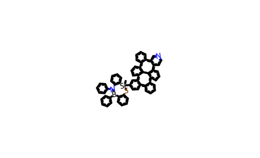 C[Si]1(c2ccc3c(c2)c2cccc4c2-c2c(cccc2c2ccncc2c2ccccc42)c2ccccc23)Sc2ccccc2B(c2ccccc2)N(c2ccccc2)c2ccccc21